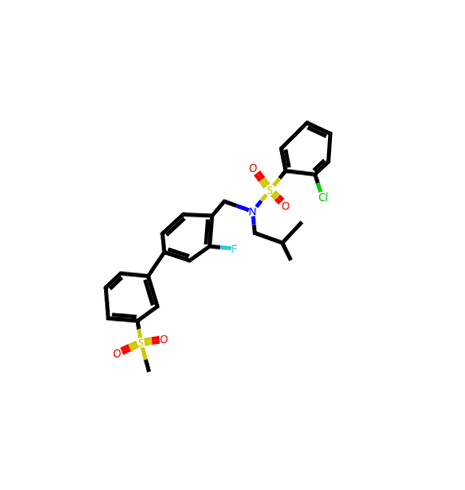 CC(C)CN(Cc1ccc(-c2cccc(S(C)(=O)=O)c2)cc1F)S(=O)(=O)c1ccccc1Cl